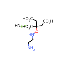 F.NCCNOC(CC(=O)O)(CC(=O)O)C(=O)O.[NaH]